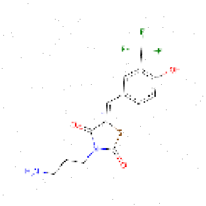 NCCCN1C(=O)S/C(=C\c2ccc(O)c(C(F)(F)F)c2)C1=O